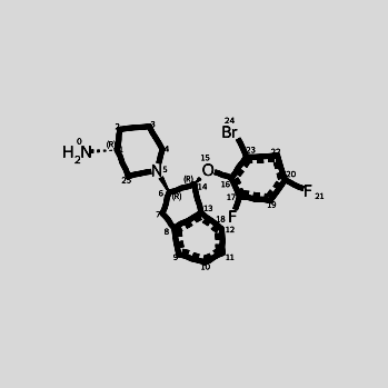 N[C@@H]1CCCN([C@@H]2Cc3ccccc3[C@H]2Oc2c(F)cc(F)cc2Br)C1